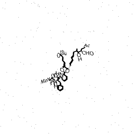 CNC(C(=O)NC(Cc1ccccc1)C(=O)N1CCCC(C(=O)O[C@@H](C/C=C/C=C/CC(C)C(O)[C@H](C=O)CCC(C)=O)/C(C)=C/C=C/C(=O)C(C)(C)C)N1)C(C)C